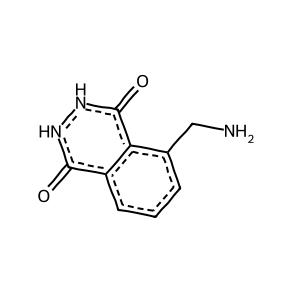 NCc1cccc2c(=O)[nH][nH]c(=O)c12